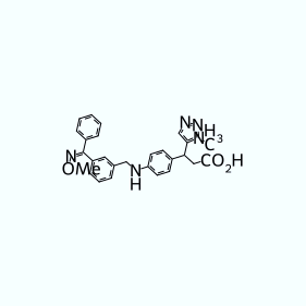 CO/N=C(/c1ccccc1)c1cccc(CNc2ccc(C(CC(=O)O)c3cnnn3C)cc2)c1